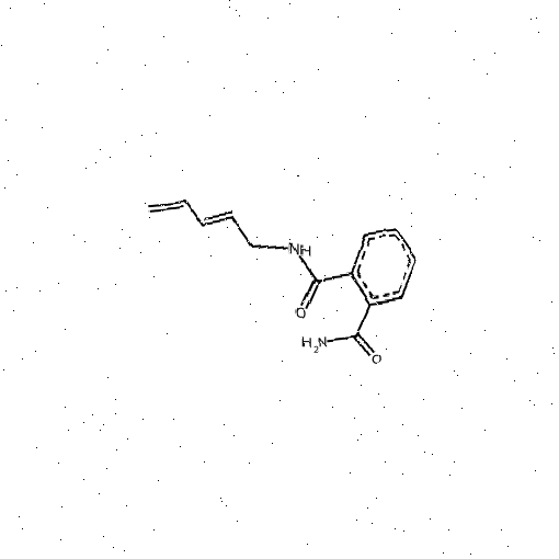 C=CC=CCNC(=O)c1ccccc1C(N)=O